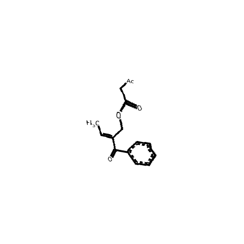 CC=C(COC(=O)CC(C)=O)C(=O)c1ccccc1